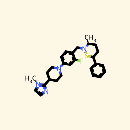 C[C@H]1CCC(c2ccccc2)SN1Cc1ccc(N2CCC(c3nccn3C)CC2)cc1F